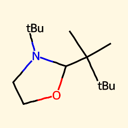 CC(C)(C)N1CCOC1C(C)(C)C(C)(C)C